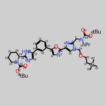 CCCN(Cc1nc(-c2ncc(-c3cccc(-c4cnc([C@@H]5CCCCN5C(=O)OC(C)(C)C)[nH]4)c3)o2)cn1COCC[Si](C)(C)C)C(=O)OC(C)(C)C